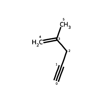 [C]#CCC(=C)C